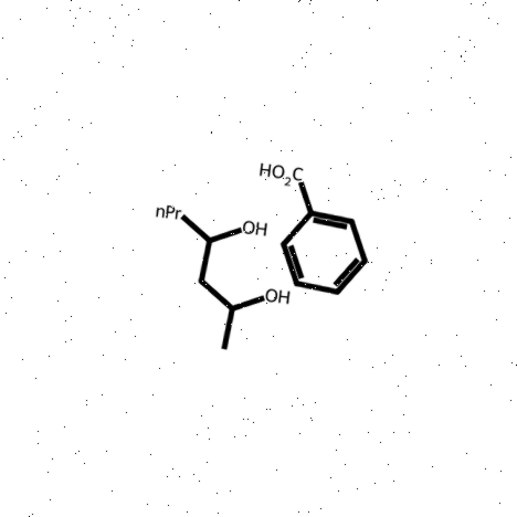 CCCC(O)CC(C)O.O=C(O)c1ccccc1